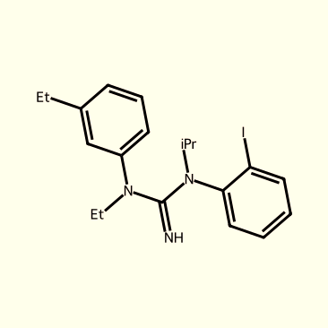 CCc1cccc(N(CC)C(=N)N(c2ccccc2I)C(C)C)c1